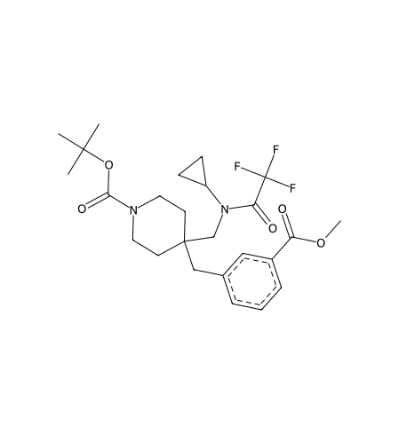 COC(=O)c1cccc(CC2(CN(C(=O)C(F)(F)F)C3CC3)CCN(C(=O)OC(C)(C)C)CC2)c1